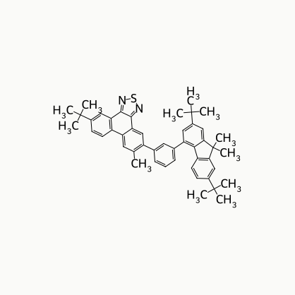 Cc1cc2c3ccc(C(C)(C)C)cc3c3nsnc3c2cc1-c1cccc(-c2cc(C(C)(C)C)cc3c2-c2ccc(C(C)(C)C)cc2C3(C)C)c1